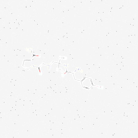 CC(C=O)(CNCC(=O)N1CCC[C@H]1C(N)=O)NC(=O)[C@@H](N)Cc1ccc(O)cc1